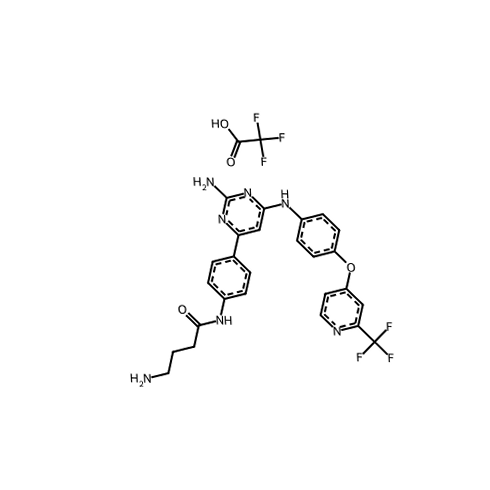 NCCCC(=O)Nc1ccc(-c2cc(Nc3ccc(Oc4ccnc(C(F)(F)F)c4)cc3)nc(N)n2)cc1.O=C(O)C(F)(F)F